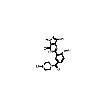 CCCc1nn(C)c2c(=O)[nH]c(-c3cc(C(=O)N4CCN(CC)CC4)ccc3OCC)nc12